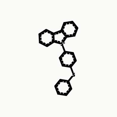 c1ccc(Sc2ccc(-[s+]3c4ccccc4c4ccccc43)cc2)cc1